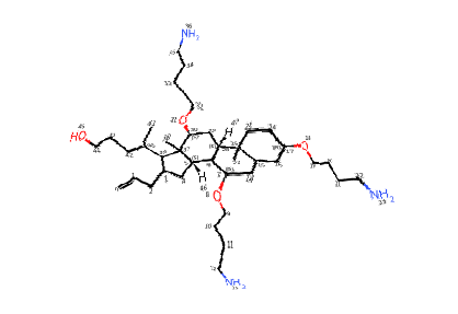 C=CCC1C[C@H]2C3[C@H](OCCCCN)CC4C[C@H](OCCCCN)CCC4(C)[C@H]3C[C@H](OCCCCN)C2(C)C1C(C)CCCO